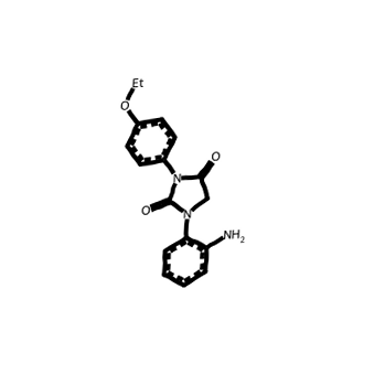 CCOc1ccc(N2C(=O)CN(c3ccccc3N)C2=O)cc1